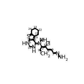 C=C/C(=C(Cl)\C=C\C=NN)N(N)C1NCNc2sc3c(c21)CCCC3